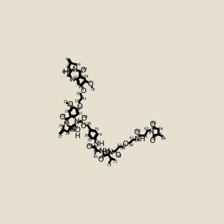 C=C1C[C@H]2C=Nc3cc(OCCCOc4cc5c(cc4OC)C(=O)N4CC(=C)C[C@H]4[C@H](O)N5C(=O)OCc4ccc(NC(=O)[C@H](C)NC(=O)[C@@H](NC(=O)CCOCCNC(=O)CCN5C(=O)CC(C)C5=O)C(C)C)cc4)c(OC)cc3C(=O)N2C1